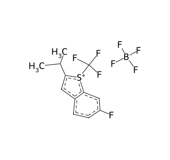 CC(C)c1cc2ccc(F)cc2[s+]1C(F)(F)F.F[B-](F)(F)F